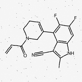 C=CC(=O)N1CCC=C(c2c(F)c(F)cc3[nH]c(C)c(C#N)c23)C1